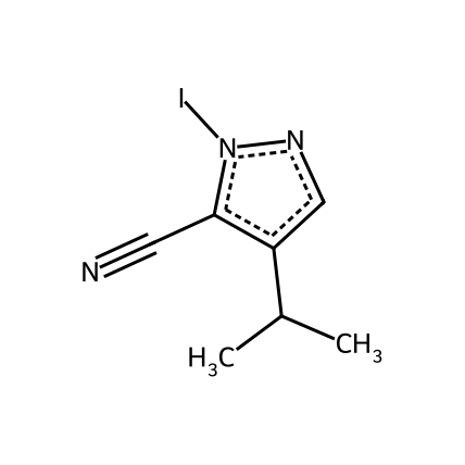 CC(C)c1cnn(I)c1C#N